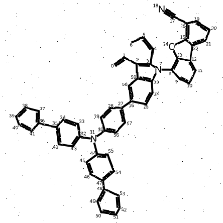 C=Cc1c(/C=C\C)n(-c2cccc3c2oc2c(C#N)cccc23)c2ccc(-c3ccc(N(c4ccc(-c5ccccc5)cc4)c4ccc(-c5ccccc5)cc4)cc3)cc12